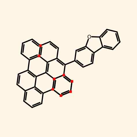 c1ccc(-c2ccc3cccc(-c4ccccc4)c3c2-c2c3ccccc3c(-c3ccc4c(c3)oc3ccccc34)c3ccccc23)cc1